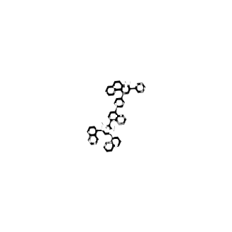 c1ccc(-c2cc(-c3ccc(-c4ccc(-c5nc(-c6cccc7ccccc67)cc(-c6cccc7ccccc67)n5)c5ccccc45)cc3)c3c(ccc4ccccc43)n2)cc1